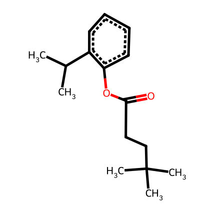 CC(C)c1ccccc1OC(=O)CCC(C)(C)C